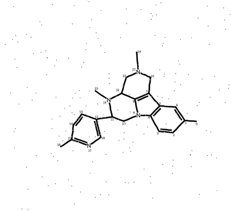 Cc1ccc2c(c1)c1c3n2CC(c2ccc(C)nc2)N(C)C3CN(C)C1